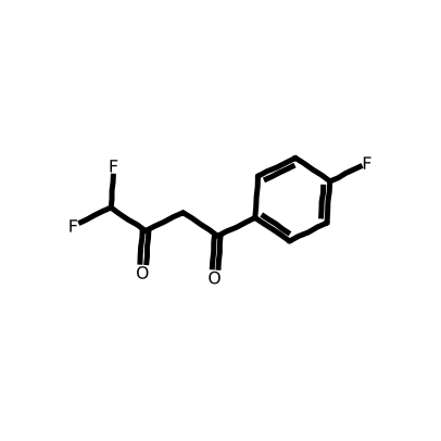 O=C(CC(=O)C(F)F)c1ccc(F)cc1